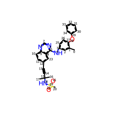 Cc1cc(Nc2ncnc3ccc(C#CC(C)(C)NS(C)(=O)=O)cc23)ccc1Oc1ccccc1